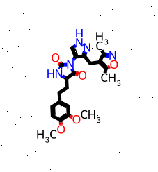 COc1ccc(CCC2NC(=O)N(c3c[nH]nc3Cc3c(C)noc3C)C2=O)cc1OC